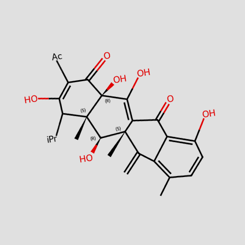 C=C1c2c(C)ccc(O)c2C(=O)C2=C(O)[C@@]3(O)C(=O)C(C(C)=O)=C(O)C(C(C)C)[C@@]3(C)[C@H](O)[C@@]12C